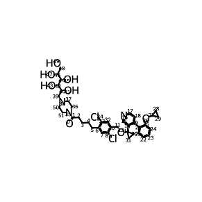 O=C(CCCCc1cc(Cl)c(COC2(c3cnccc3-c3ccccc3OC3CC3)CC2)cc1Cl)N1CCN(C[C@H](O)[C@@H](O)[C@@H](O)[C@H](O)CO)CC1